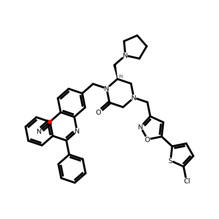 N#Cc1ccc(CN2C(=O)CN(Cc3cc(-c4ccc(Cl)s4)on3)C[C@@H]2CN2CCCC2)cc1N=C(c1ccccc1)c1ccccc1